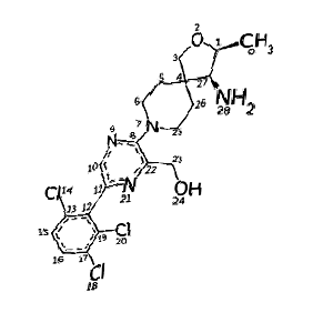 C[C@@H]1OCC2(CCN(c3ncc(-c4c(Cl)ccc(Cl)c4Cl)nc3CO)CC2)[C@@H]1N